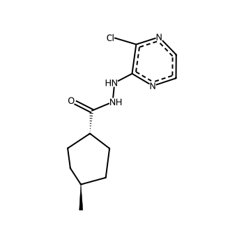 C[C@H]1CC[C@H](C(=O)NNc2nccnc2Cl)CC1